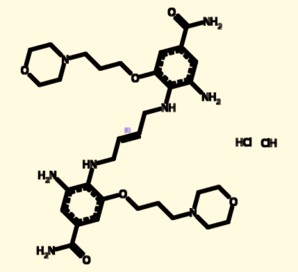 Cl.Cl.NC(=O)c1cc(N)c(NC/C=C/CNc2c(N)cc(C(N)=O)cc2OCCCN2CCOCC2)c(OCCCN2CCOCC2)c1